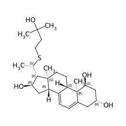 C[C@H](SCCC(C)(C)O)[C@H]1[C@H](O)C[C@H]2C3=CC=C4C[C@@H](O)C[C@H](O)[C@]4(C)[C@H]3CC[C@]12C